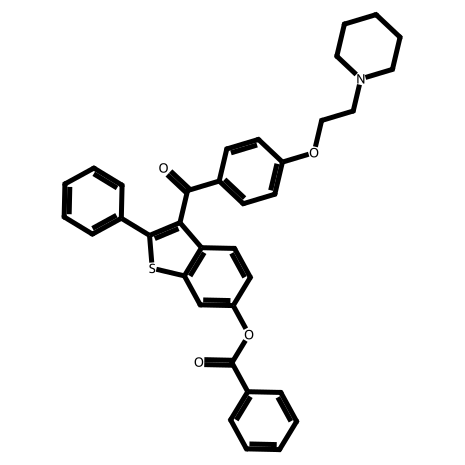 O=C(Oc1ccc2c(C(=O)c3ccc(OCCN4CCCCC4)cc3)c(-c3ccccc3)sc2c1)c1ccccc1